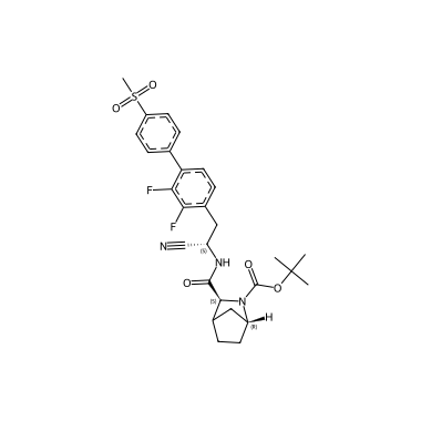 CC(C)(C)OC(=O)N1[C@@H]2CCC(C2)[C@H]1C(=O)N[C@H](C#N)Cc1ccc(-c2ccc(S(C)(=O)=O)cc2)c(F)c1F